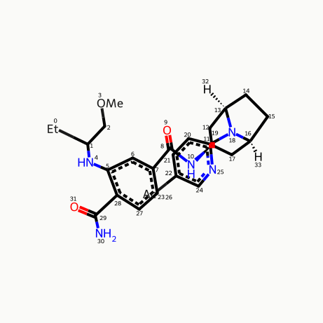 CCC(COC)Nc1cc(C(=O)N[C@H]2C[C@H]3CC[C@@H](C2)N3c2ccc(C(C)=O)cn2)ccc1C(N)=O